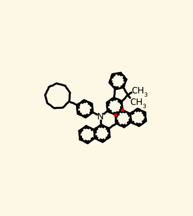 CC1(C)c2ccccc2-c2cc(N(c3ccc(C4CCCCCCCC4)cc3)c3c(-c4ccc5ccccc5c4)ccc4ccccc34)ccc21